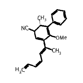 C=C/C=C\C=C(/C)C1=CC(C#N)[C@H](C)C(c2ccccc2)=C1OC